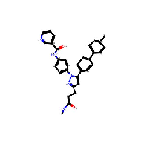 CNC(=O)CCc1cc(-c2ccc(-c3ccc(C)cc3)cc2)n(-c2ccc(NC(=O)c3cccnc3)cc2)n1